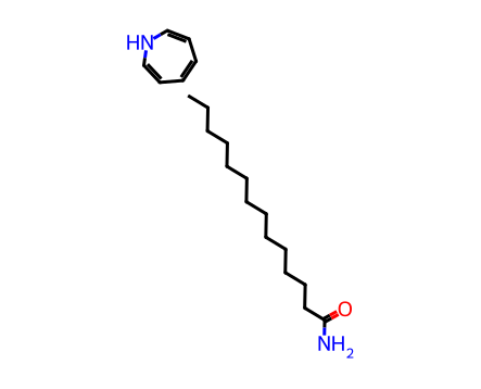 C1=CC=CNC=C1.CCCCCCCCCCCCCC(N)=O